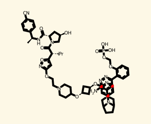 CC(C)[C@@H](C(=O)N1C[C@H](O)C[C@H]1C(=O)N[C@@H](C)c1ccc(C#N)cc1)c1cc(OCCN2CCC(O[C@H]3C[C@H](Oc4cc(N5C6CCC5CN(c5cc(-c7ccccc7OCOP(=O)(O)O)nnc5N)C6)ccn4)C3)CC2)no1